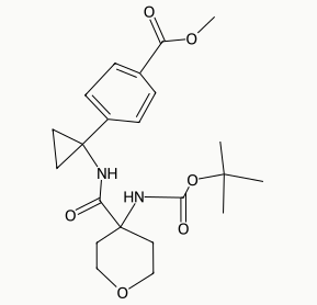 COC(=O)c1ccc(C2(NC(=O)C3(NC(=O)OC(C)(C)C)CCOCC3)CC2)cc1